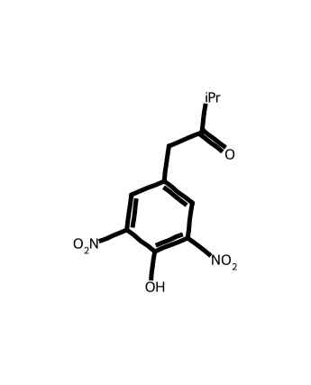 CC(C)C(=O)Cc1cc([N+](=O)[O-])c(O)c([N+](=O)[O-])c1